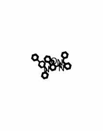 C1=CC(c2ccccc2)CC=C1N(c1ccccc1)c1ccc(-c2nc(-c3ccccc3)c3ccccc3n2)c2oc3ccccc3c12